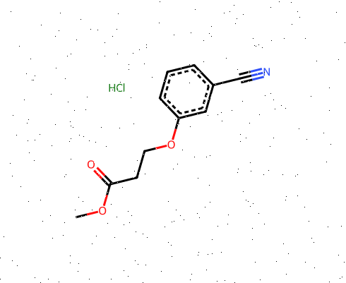 COC(=O)CCOc1cccc(C#N)c1.Cl